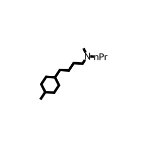 CCCN(C)CCCCC1CC[C](C)CC1